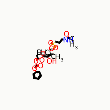 CCC(OC(=O)Oc1ccccc1)OC(=O)[C@H](O)C(C)(C)COS(=O)(=O)CCCNC(C)=O